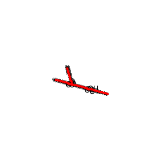 CCCCCCCCC=CCCCCCCCC(=O)OCC(O)COC(=O)CCCCCCCC=CCCCCCCCC(=O)OC(COC(=O)CCCCCCCCCCCCCCCCC)COC(=O)CCCCCCCCCCCCCCCCC